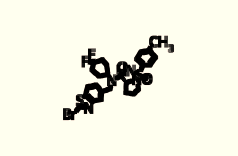 Cc1ccc([S@](=N)(=O)N2CCC[C@H]2C(=O)N(Cc2ccc3sc(Br)nc3c2)C2CCC(F)(F)CC2)cc1